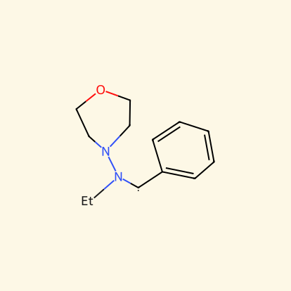 CCN([CH]c1ccccc1)N1CCOCC1